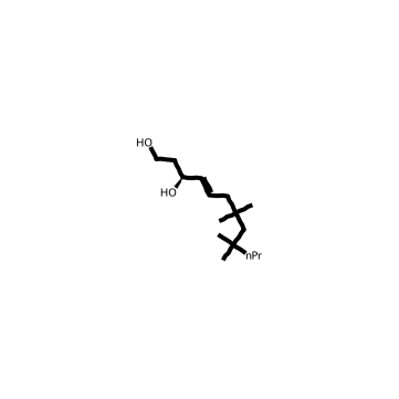 CCCC(C)(C)CC(C)(C)C/C=C/[C@@H](O)CCO